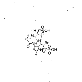 CS(=O)(=O)O.CS(=O)(=O)O.N[C@@H]1CCCN(c2c(Br)cnc3[nH]cc(NC(=O)C4CC4)c23)C1